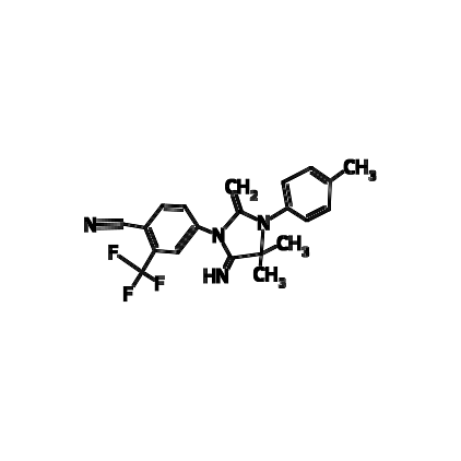 C=C1N(c2ccc(C#N)c(C(F)(F)F)c2)C(=N)C(C)(C)N1c1ccc(C)cc1